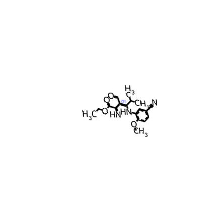 CCOC(=O)C(=N)/C(C=O)=C(\Nc1cc(C#N)ccc1OC)C(C)C